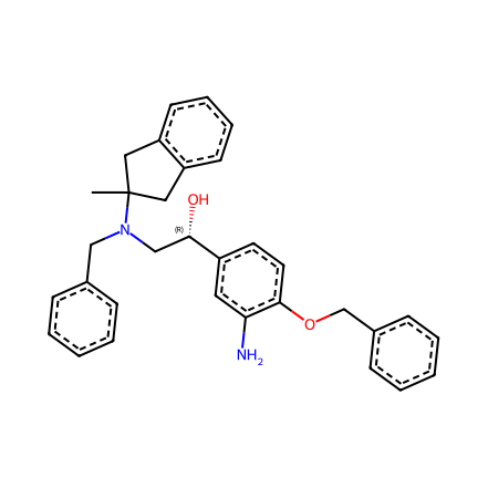 CC1(N(Cc2ccccc2)C[C@H](O)c2ccc(OCc3ccccc3)c(N)c2)Cc2ccccc2C1